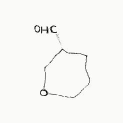 O=C[C@@H]1CCCOC1